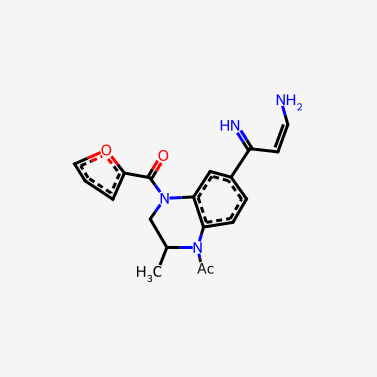 CC(=O)N1c2ccc(C(=N)/C=C\N)cc2N(C(=O)c2ccco2)CC1C